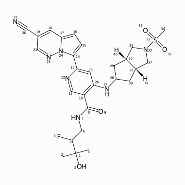 CC(C)(O)C(F)CNC(=O)c1cnc(-c2ccc3cc(C#N)cnn23)cc1NC1C[C@@H]2CN(S(C)(=O)=O)C[C@@H]2C1